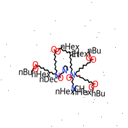 CCCCCCCCCCN(C(=O)CCN1CCCC1)C(CCCCCCCCC(=O)OCC(CCCC)CCCCCC)CCCCCCCCC(=O)OCC(CCCCCC)CCCCC(CC)CCCCCCCN(C(=O)CCCCN(C)CCCCCC)C(CCCCCCCCC(=O)OCC(CCCC)CCCCCC)CCCCCCCCC(=O)OCC(CCCC)CCCCCC